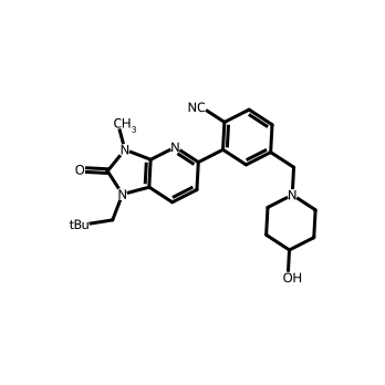 Cn1c(=O)n(CC(C)(C)C)c2ccc(-c3cc(CN4CCC(O)CC4)ccc3C#N)nc21